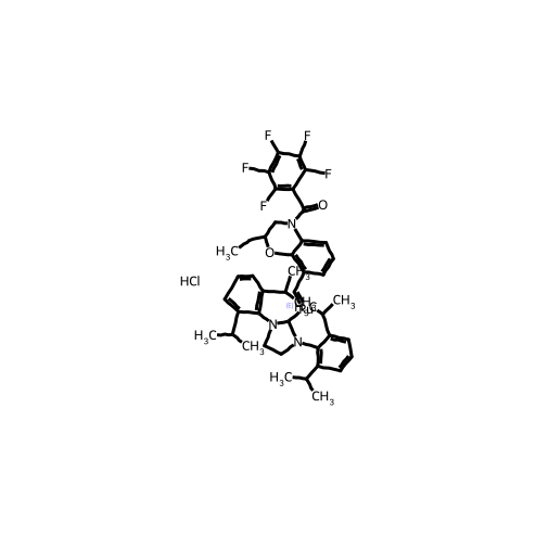 CCC1CN(C(=O)c2c(F)c(F)c(F)c(F)c2F)c2cccc(/[CH]=[Ru]/[CH]3N(c4c(C(C)C)cccc4C(C)C)CCN3c3c(C(C)C)cccc3C(C)C)c2O1.Cl